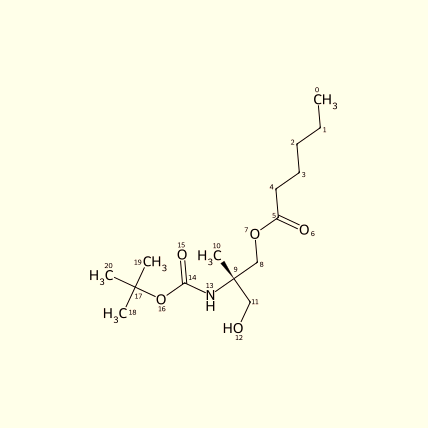 CCCCCC(=O)OC[C@](C)(CO)NC(=O)OC(C)(C)C